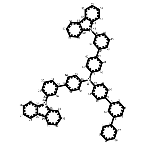 c1ccc(-c2cccc(-c3ccc(N(c4ccc(-c5cccc(-n6c7ccccc7c7ccccc76)c5)cc4)c4ccc(-c5cccc(-n6c7ccccc7c7ccccc76)c5)cc4)cc3)c2)cc1